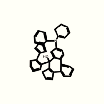 OC1(C2=C(C3=CCC=C3)C=C=C=C2)C2=C(C=CC2)c2ccccc2-c2ccc(N(C3=CC=CCC3)c3ccccc3)cc21